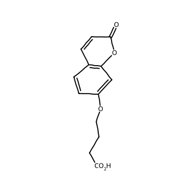 O=C(O)CCCOc1ccc2ccc(=O)oc2c1